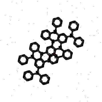 Fc1c2c(cc3c1N(c1ccccc1-c1ccccc1)c1cc(N(c4ccccc4)c4ccccc4)cc4c1B3c1ccccc1N4c1ccccc1)B1c3ccccc3N(c3ccccc3)c3cc(N(c4ccccc4)c4ccccc4)cc(c31)S2